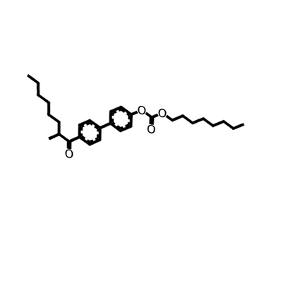 CCCCCCCCOC(=O)Oc1ccc(-c2ccc(C(=O)C(C)CCCCCC)cc2)cc1